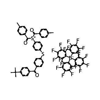 Cc1ccc(C(=O)[S+](C(=O)c2ccc(C)cc2)c2ccc(Sc3ccc(C(=O)c4ccc(C(C)(C)C)cc4)cc3)cc2)cc1.Fc1c(F)c(F)c([B-](c2c(F)c(F)c(F)c(F)c2F)(c2c(F)c(F)c(F)c(F)c2F)c2c(F)c(F)c(F)c(F)c2F)c(F)c1F